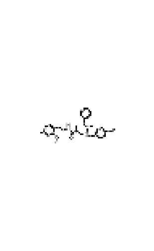 COc1cc(F)ccc1CCNC(=O)NC[C@H](Cc1ccc(O)cc1)N(C)Cc1ccccc1